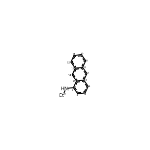 CCNc1cccc2cc3ccccc3cc12